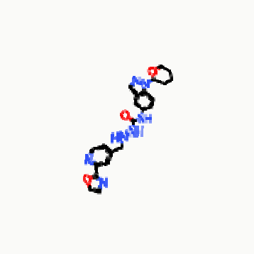 O=C(NNCc1ccnc(-c2ncco2)c1)Nc1ccc2c(cnn2C2CCCCO2)c1